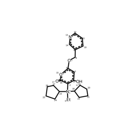 CC[N+](c1c(O)cc(OCc2cccnc2)oc1=O)(C1CCCC1)C1CCCC1